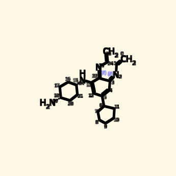 C=C/N=C1/C=C(C2CCCCC2)C=C(N[C@H]2CC[C@@H](N)CC2)/C1=N/C=C